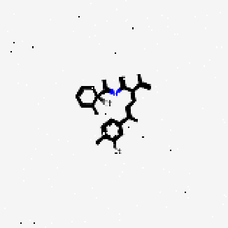 C=C(C)/C(=C/C=C(\C)c1ccc(C)c(CC)c1)C(=C)/N=C(\C)C1(CC)CC=CCC1C